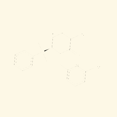 COc1cccc(C[C@H]2C(=O)C(C#N)C[C@@H](C)[C@@H]2S(C)(C)c2ccccc2)n1